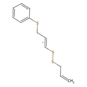 C=CCSS/C=C/CSc1ccccc1